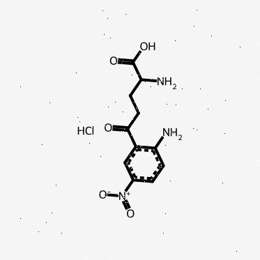 Cl.Nc1ccc([N+](=O)[O-])cc1C(=O)CCC(N)C(=O)O